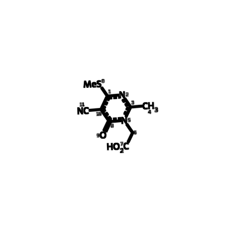 CSc1nc(C)n(CC(=O)O)c(=O)c1C#N